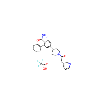 NC(=O)c1ccc(C2CCN(C(=O)Cc3cccnc3)CC2)cc1C1=CCCCC1.O=C(O)C(F)(F)F